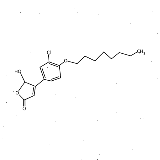 CCCCCCCCOc1ccc(C2=CC(=O)OC2O)cc1Cl